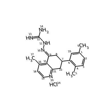 Cc1ccc(C)c(C2CC(=NNC(=N)N)c3c(C)ccnc3C2)c1.Cl